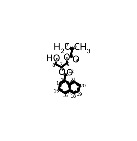 C=C(C)C(=O)OCC(CO)OC(=O)c1cccc2ccccc12